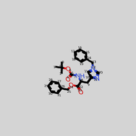 CC(C)(C)OC(=O)NC(Cc1cn(Cc2ccccc2)cn1)C(=O)OCc1ccccc1